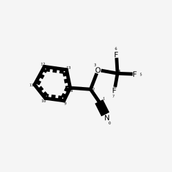 N#CC(OC(F)(F)F)c1ccccc1